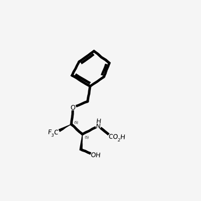 O=C(O)N[C@@H](CO)[C@H](OCc1ccccc1)C(F)(F)F